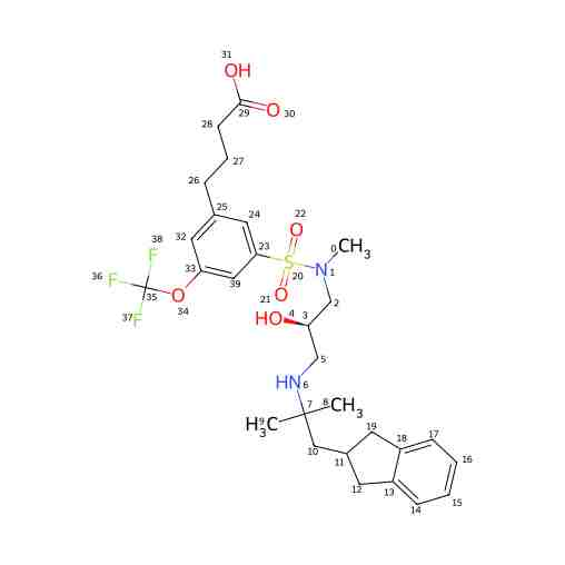 CN(C[C@H](O)CNC(C)(C)CC1Cc2ccccc2C1)S(=O)(=O)c1cc(CCCC(=O)O)cc(OC(F)(F)F)c1